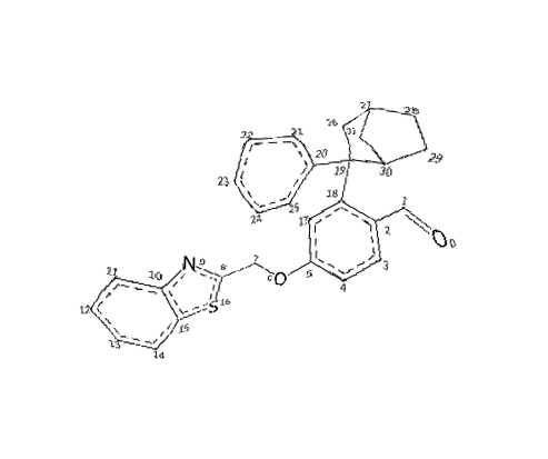 O=Cc1ccc(OCc2nc3ccccc3s2)cc1C1(c2ccccc2)CC2CCC1C2